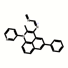 C=N/C=N\C1=C(C)N(c2cccnc2)c2cccc3cc(-c4ccccc4)cc1c23